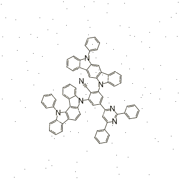 N#Cc1c(-n2c3ccccc3c3cc4c(cc32)c2ccccc2n4-c2ccccc2)cc(-c2cc(-c3ccccc3)nc(-c3ccccc3)n2)cc1-n1c2ccccc2c2c1ccc1c3ccccc3n(-c3ccccc3)c12